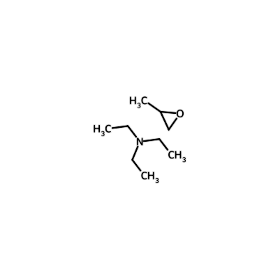 CC1CO1.CCN(CC)CC